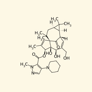 CC1=C[C@]23C(=O)[C@@H](C=C(CO)[C@@H](O)[C@]2(O)[C@H]1OC(=O)c1c(N2CCCCC2)cnn1C)[C@H]1[C@@H](CC3(C)C)C1(C)C